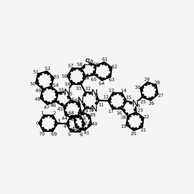 c1ccc(-c2cccc(-c3nc(-c4ccc5c(c4)c4ccccc4n5-c4ccccc4)nc(-c4c(-n5c6cc7ccccc7cc6c6ccc7ccccc7c65)ccc5sc6ccccc6c45)n3)c2)cc1